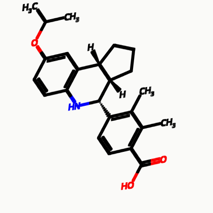 Cc1c(C(=O)O)ccc([C@@H]2Nc3ccc(OC(C)C)cc3[C@@H]3CCC[C@@H]32)c1C